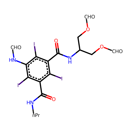 [CH2][CH]CNC(=O)c1c(I)c(NC=O)c(I)c(C(=O)NC(COC=O)COC=O)c1I